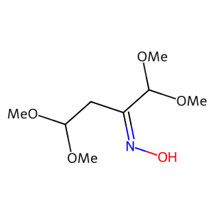 COC(CC(=NO)C(OC)OC)OC